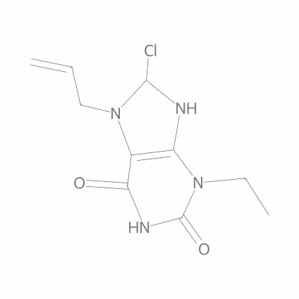 C=CCN1c2c(n(CC)c(=O)[nH]c2=O)NC1Cl